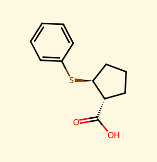 O=C(O)[C@H]1CCC[C@@H]1Sc1ccccc1